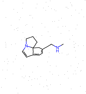 CNCC1=CC=C2C=CN3CCCC23C1